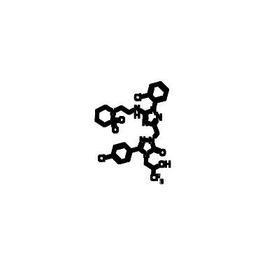 O=c1n(Cc2nc(NCCN3CCCCS3(=O)=O)n(-c3ccccc3Cl)n2)nc(-c2ccc(Cl)cc2)n1CC(O)C(F)(F)F